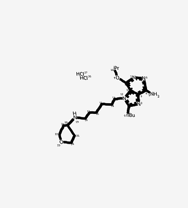 CCCCc1nc2c(N)nnc(OC(C)C)c2n1CCCCCCNC1CCOCC1.Cl.Cl